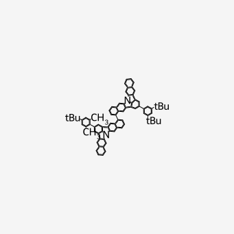 Cc1cc(C(C)(C)C)cc(C)c1-c1cc2c3cc4ccccc4cc3n3c4cc5cccc(-c6cccc7cc8c(cc67)c6cc(-c7cc(C(C)(C)C)cc(C(C)(C)C)c7)cc7c9cc%10ccccc%10cc9n8c76)c5cc4c(c1)c23